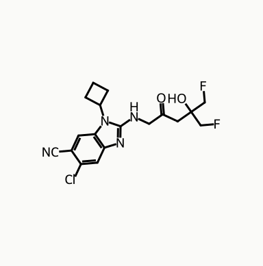 N#Cc1cc2c(cc1Cl)nc(NCC(=O)CC(O)(CF)CF)n2C1CCC1